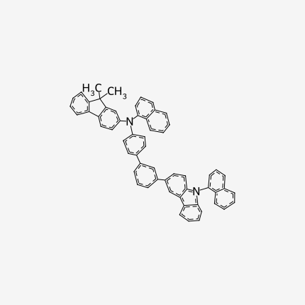 CC1(C)c2ccccc2-c2ccc(N(c3ccc(-c4cccc(-c5ccc6c(c5)c5ccccc5n6-c5cccc6ccccc56)c4)cc3)c3cccc4ccccc34)cc21